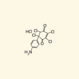 Cl.Nc1ccc(C2(Cl)C(=O)C(Cl)=C(Cl)C(=O)C2Cl)cc1